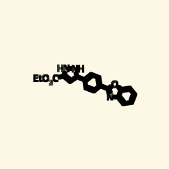 CCOC(=O)C1=CC(c2ccc(-c3nc4ccccc4o3)cc2)NN1